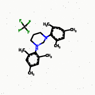 Cc1cc(C)c(N2CCC[NH+](c3c(C)cc(C)cc3C)C2)c(C)c1.F[B-](F)(F)F